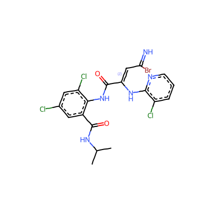 CC(C)NC(=O)c1cc(Cl)cc(Cl)c1NC(=O)/C(=C/C(=N)Br)Nc1ncccc1Cl